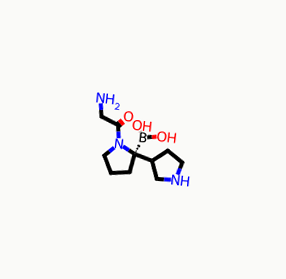 NCC(=O)N1CCC[C@]1(B(O)O)C1CCNC1